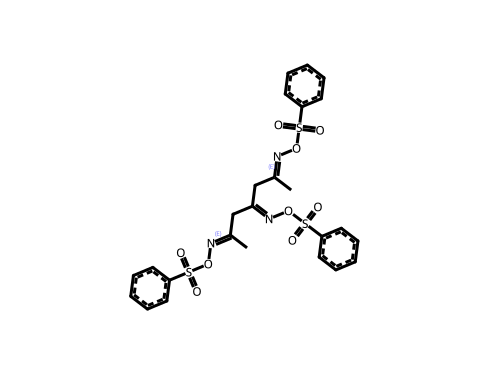 C/C(CC(C/C(C)=N/OS(=O)(=O)c1ccccc1)=NOS(=O)(=O)c1ccccc1)=N\OS(=O)(=O)c1ccccc1